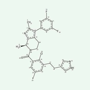 C[C@H]1c2nn(C)c(-c3cc(F)cc(F)c3)c2CCN1C(=O)c1cc(F)cc(CCc2cn[nH]c2)c1Cl